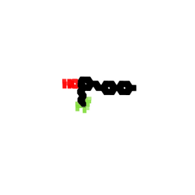 CC1CCC(C2CCC(CCC3C=CC(O)=C(CCCC(F)(F)F)C3)CC2)CC1